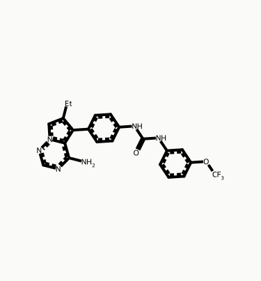 [CH2]Cc1cn2ncnc(N)c2c1-c1ccc(NC(=O)Nc2cccc(OC(F)(F)F)c2)cc1